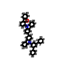 C1=CC(c2cc(C3=CCCC=C3)cc(N3C4=CC=C(c5ccc6c(c5)c5ccccc5n6C5=CCCc6c5oc5c6CCC=C5)CC4c4ccccc43)c2)=CCC1